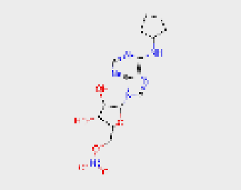 O=[N+]([O-])OCC1OC(n2cnc3c(NC4CCCC4)ncnc32)C(O)C1O